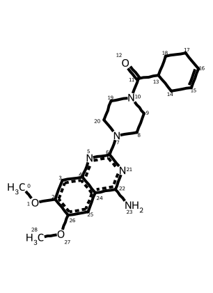 COc1cc2nc(N3CCN(C(=O)C4CC=CCC4)CC3)nc(N)c2cc1OC